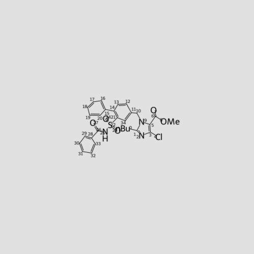 CCCCc1nc(Cl)c(C(=O)OC)n1Cc1ccc(-c2ccccc2)c(S(=O)(=O)NC(=O)c2ccccc2)c1